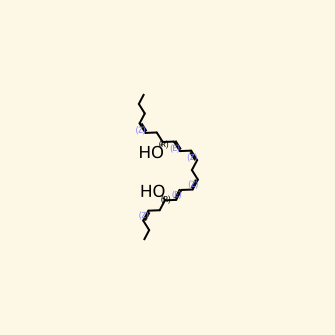 CC/C=C\C[C@@H](O)/C=C/C=C\C/C=C\C=C\[C@H](O)C/C=C\CCC